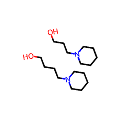 OCCCCN1CCCCC1.OCCCN1CCCCC1